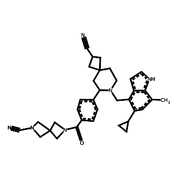 Cc1cc(C2CC2)c(CN2CCC3(CC(C#N)C3)CC2c2ccc(C(=O)N3CC4(CN(C#N)C4)C3)cc2)c2cc[nH]c12